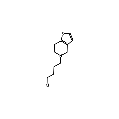 ClCCCCN1CCc2sccc2C1